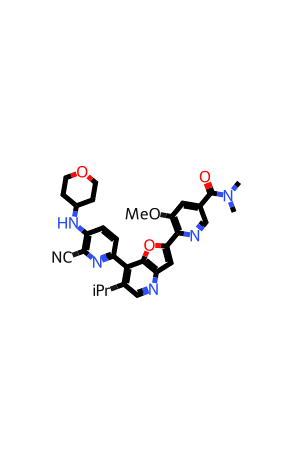 COc1cc(C(=O)N(C)C)cnc1-c1cc2ncc(C(C)C)c(-c3ccc(NC4CCOCC4)c(C#N)n3)c2o1